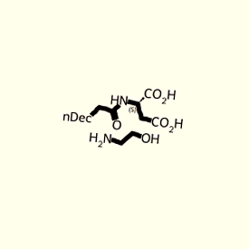 CCCCCCCCCCCC(=O)N[C@@H](CC(=O)O)C(=O)O.NCCO